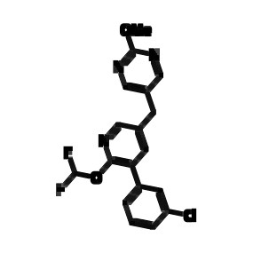 COc1ncc(Cc2cnc(OC(F)F)c(-c3cccc(Cl)c3)c2)cn1